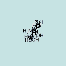 COc1c(Cl)ccc(-c2nc(N)c(C=C[Si](O)(O)O)c(C(=O)O)n2)c1F